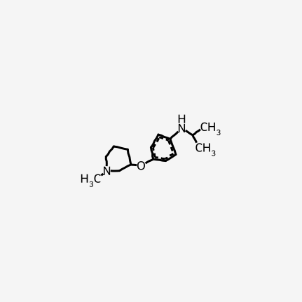 CC(C)Nc1ccc(OC2CCCN(C)C2)cc1